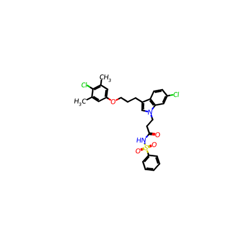 Cc1cc(OCCCc2cn(CCC(=O)NS(=O)(=O)c3ccccc3)c3cc(Cl)ccc23)cc(C)c1Cl